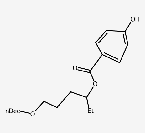 CCCCCCCCCCOCCCC(CC)OC(=O)c1ccc(O)cc1